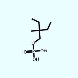 CCC(C)(CC)COP(=O)(O)O